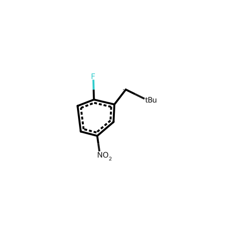 CC(C)(C)[CH]c1cc([N+](=O)[O-])ccc1F